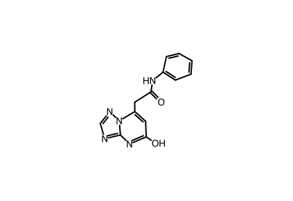 O=C(Cc1cc(O)nc2ncnn12)Nc1ccccc1